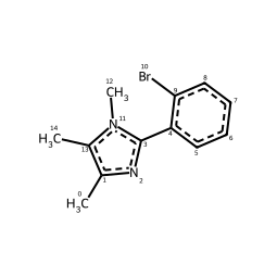 Cc1nc(-c2ccccc2Br)n(C)c1C